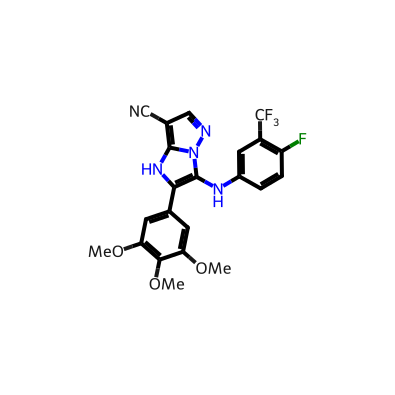 COc1cc(-c2[nH]c3c(C#N)cnn3c2Nc2ccc(F)c(C(F)(F)F)c2)cc(OC)c1OC